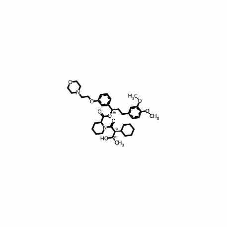 COc1ccc(CC[C@@H](OC(=O)C2CCCCN2C(=O)[C@@H](C2CCCCC2)[C@@H](C)O)c2cccc(OCCN3CCOCC3)c2)cc1OC